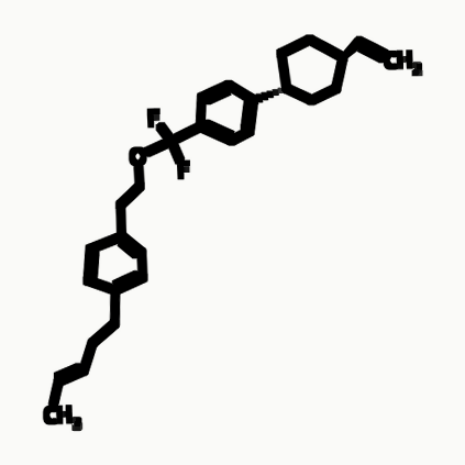 C=C[C@H]1CC[C@H](c2ccc(C(F)(F)OCCc3ccc(CC/C=C/C)cc3)cc2)CC1